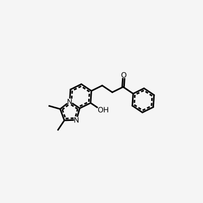 Cc1nc2c(O)c(CCC(=O)c3ccccc3)ccn2c1C